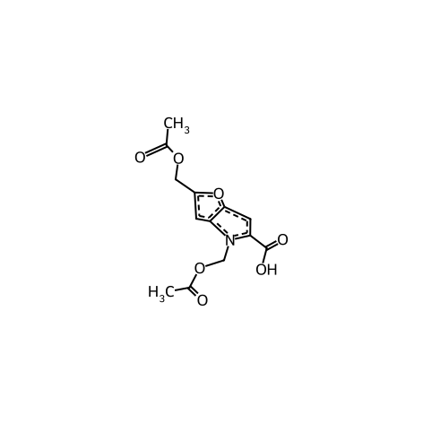 CC(=O)OCc1cc2c(cc(C(=O)O)n2COC(C)=O)o1